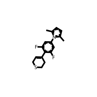 Cc1ccc(C)n1-c1cc(F)c(C2=CCSCC2)c(F)c1